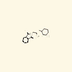 O=C(O)N[C@@H](CC1CCCCC1)CN1C(=O)c2ccccc2C1=O